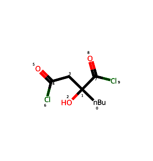 CCCCC(O)(CC(=O)Cl)C(=O)Cl